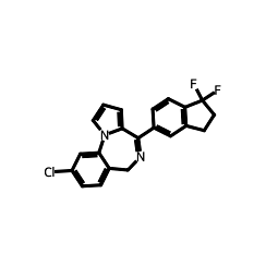 FC1(F)CCc2cc(C3=NCc4ccc(Cl)cc4-n4cccc43)ccc21